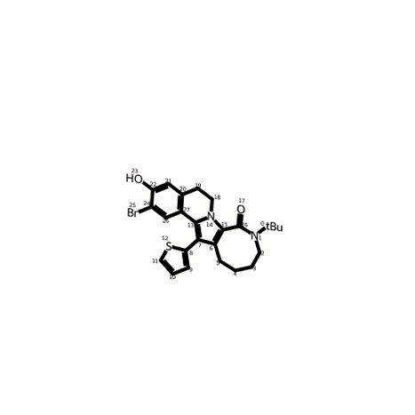 CC(C)(C)N1CCCCc2c(-c3cccs3)c3n(c2C1=O)CCc1cc(O)c(Br)cc1-3